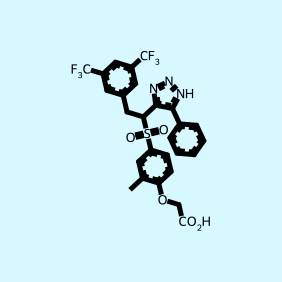 Cc1cc(S(=O)(=O)C(Cc2cc(C(F)(F)F)cc(C(F)(F)F)c2)c2nn[nH]c2-c2ccccc2)ccc1OCC(=O)O